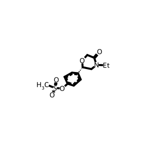 CCN1C[C@H](c2ccc(OS(C)(=O)=O)cc2)OCC1=O